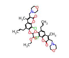 C=CCc1cc2c(C)c(CN3CCOCC3)c(=O)oc2c(Cl)c1OC(Oc1c(CC=C)cc2c(C)c(CN3CCOCC3)c(=O)oc2c1Cl)C(=O)OCC